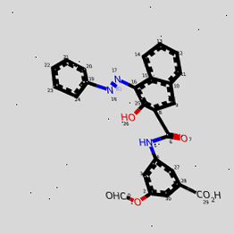 O=COc1cc(NC(=O)c2cc3ccccc3c(/N=N/c3ccccc3)c2O)cc(C(=O)O)c1